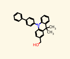 CC1(C)c2ccccc2N(c2ccc(-c3ccccc3)cc2)c2ccc(CO)cc21